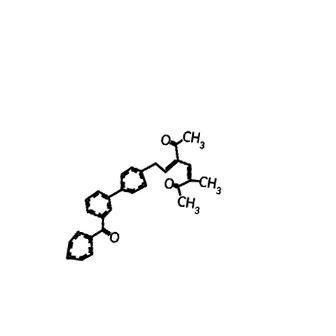 CC(=O)C(C)=CC(=CCc1ccc(-c2cccc(C(=O)c3ccccc3)c2)cc1)C(C)=O